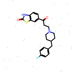 O=C(CCN1CCC(Cc2ccc(F)cc2)CC1)c1ccc2[nH]c(=O)sc2c1